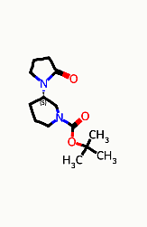 CC(C)(C)OC(=O)N1CCC[C@H](N2CCCC2=O)C1